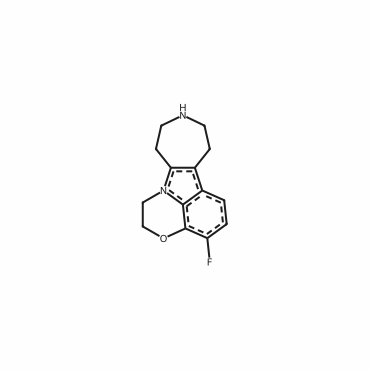 Fc1ccc2c3c(n4c2c1OCC4)CCNCC3